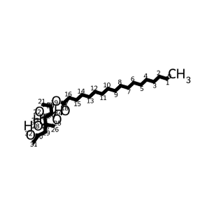 CCCCCCCCCCCCCCCCCC(=O)O[C@@H]1CO[C@H]2[C@@H]1OC[C@@]2(O)CC1CO1